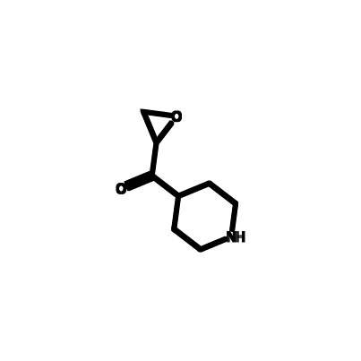 O=C(C1CCNCC1)C1CO1